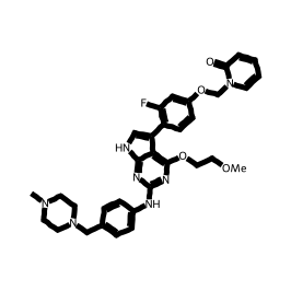 COCCOc1nc(Nc2ccc(CN3CCN(C)CC3)cc2)nc2[nH]cc(-c3ccc(OCn4ccccc4=O)cc3F)c12